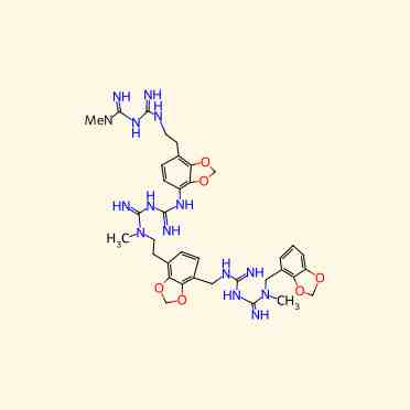 CNC(=N)NC(=N)NCCc1ccc(NC(=N)NC(=N)N(C)CCc2ccc(CNC(=N)NC(=N)N(C)Cc3cccc4c3OCO4)c3c2OCO3)c2c1OCO2